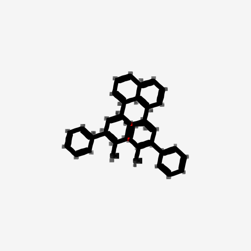 Cc1cc(O)c(-c2ccccc2)cc1-c1cccc2cccc(-c3cc(-c4ccccc4)c(O)cc3C)c12